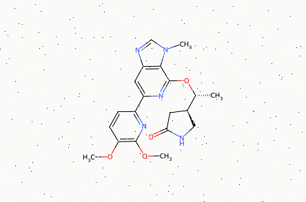 COc1ccc(-c2cc3ncn(C)c3c(O[C@H](C)[C@H]3CNC(=O)C3)n2)nc1OC